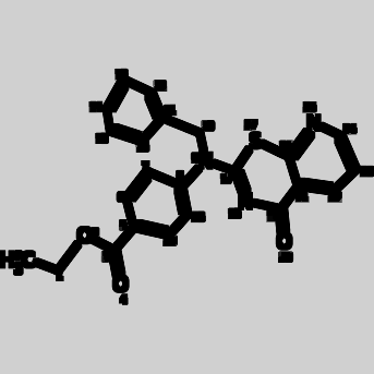 CCOC(=O)c1ccc(N(Cc2ccccc2)c2nc(=O)c3cccnc3s2)cc1